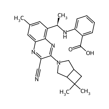 Cc1cc([C@@H](C)Nc2ccccc2C(=O)O)c2nc(N3CC4CC(C)(C)C4C3)c(C#N)nc2c1